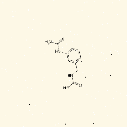 NC(=O)Nc1cccc(CNC(=O)O)c1